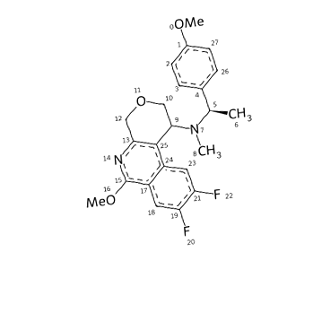 COc1ccc([C@@H](C)N(C)C2COCc3nc(OC)c4cc(F)c(F)cc4c32)cc1